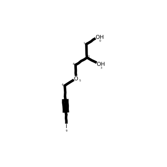 OCC(O)COCC#CI